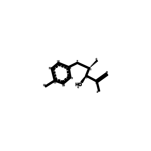 C=C(C)[C@@H](O)[C@@H](C)Cc1ccc(C)cc1